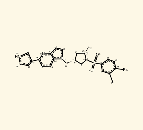 Cc1cc(S(=O)(=O)N2C[C@H](Cn3ccc4nc(-c5cn[nH]c5)ccc43)C[C@@H]2C)ccc1F